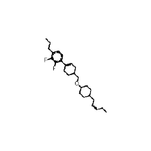 CC/C=C\CC1CCC(OCC2CC=C(c3ccc(CCC)c(F)c3F)CC2)CC1